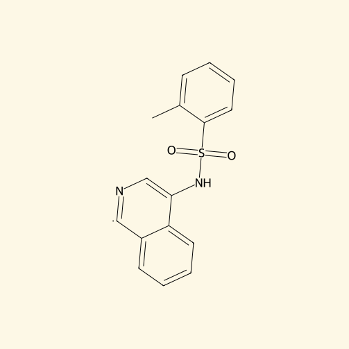 Cc1ccccc1S(=O)(=O)Nc1cn[c]c2ccccc12